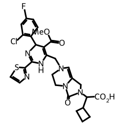 COC(=O)C1=C(CN2C=C3CN(C(C(=O)O)C4CCC4)C(=O)N3CC2)NC(c2nccs2)=NC1c1ccc(F)cc1Cl